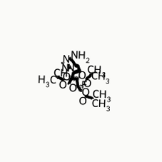 CC(C)C(=O)OC[C@@]1(F)OC[C@](OC(=O)C(C)C)(c2ccc3c(N)ncnn23)[C@@H]1OC(=O)C(C)C